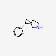 c1ccc([C@@H]2CC23CCNC3)cc1